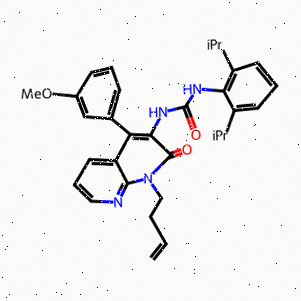 C=CCCn1c(=O)c(NC(=O)Nc2c(C(C)C)cccc2C(C)C)c(-c2cccc(OC)c2)c2cccnc21